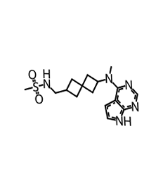 CN(c1ncnc2[nH]ccc12)C1CC2(CC(CNS(C)(=O)=O)C2)C1